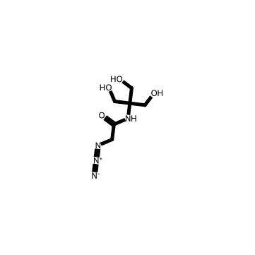 [N-]=[N+]=NCC(=O)NC(CO)(CO)CO